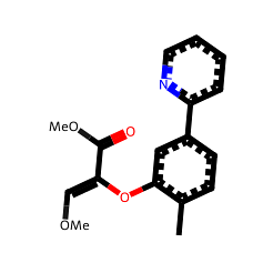 CO/C=C(\Oc1cc(-c2ccccn2)ccc1C)C(=O)OC